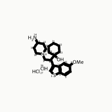 COc1ccc2scc(C(CN3CCC(N)CC3)C3(O)CCCCC3)c2c1.Cl.Cl